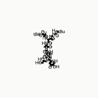 CC(C)(C)OC(=O)Nc1nc(C(=NOC(C)(C)C(=O)OC(C)(C)C)C(=O)N[C@H]2CN(C(=O)NS(=O)(=O)n3nc(-c4cc(=O)c(O)c[nH]4)n(C[C@H](O)CO)c3=O)C2=O)cs1